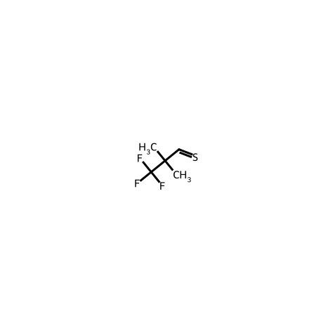 CC(C)(C=S)C(F)(F)F